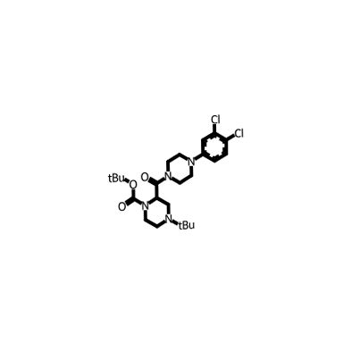 CC(C)(C)OC(=O)N1CCN(C(C)(C)C)CC1C(=O)N1CCN(c2ccc(Cl)c(Cl)c2)CC1